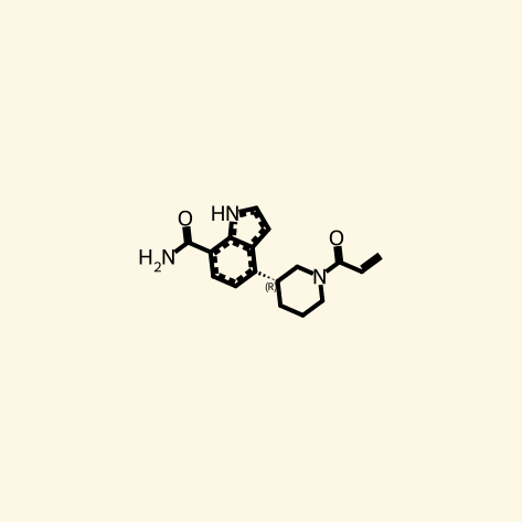 C=CC(=O)N1CCC[C@H](c2ccc(C(N)=O)c3[nH]ccc23)C1